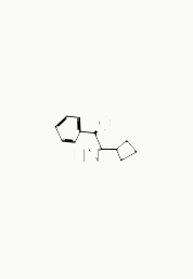 [NH]C(C(=O)c1ccccc1)C1CCC1